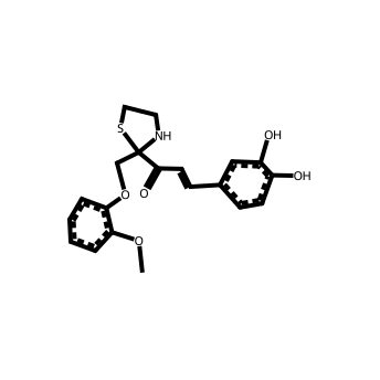 COc1ccccc1OCC1(C(=O)C=Cc2ccc(O)c(O)c2)NCCS1